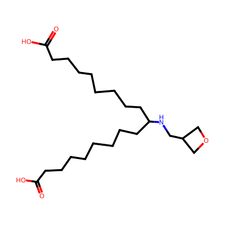 O=C(O)CCCCCCCCC(CCCCCCCCC(=O)O)NCC1COC1